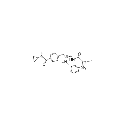 CC1=C(C(=O)NC[C@H](Cc2ccc(C(=O)NC3CC3)cc2)N(C)C)[C@@]1(C)c1ccccc1